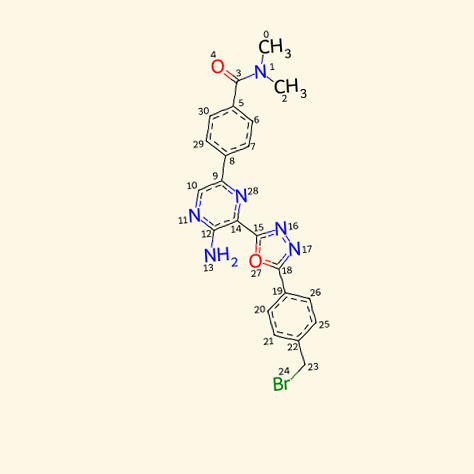 CN(C)C(=O)c1ccc(-c2cnc(N)c(-c3nnc(-c4ccc(CBr)cc4)o3)n2)cc1